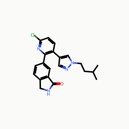 CC(C)CCn1cc(-c2ccc(Cl)nc2-c2ccc3c(c2)C(=O)NC3)cn1